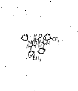 Cc1c(-c2cnn(C)c2)nn(-c2ccccc2)c1NC(=O)Nc1c(-c2ccccc2)nc2c(C(F)(F)F)cccn12